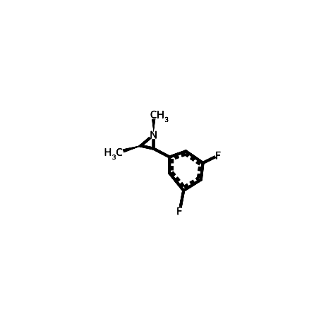 C[C@@H]1C(c2cc(F)cc(F)c2)[N@]1C